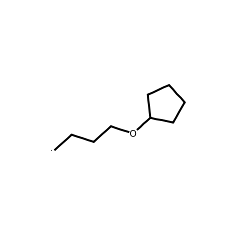 [CH2]CCCOC1CCCC1